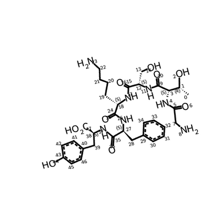 C[C@@H](O)[C@H](NC(=O)CN)C(=O)N[C@@H](CO)C(=O)N[C@@H](CCCCN)C(=O)N[C@@H](Cc1ccccc1)C(=O)N[C@@H](Cc1ccc(O)cc1)C(=O)O